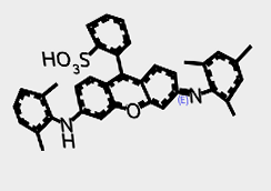 Cc1cc(C)c(/N=c2\ccc3c(-c4ccccc4S(=O)(=O)O)c4ccc(Nc5c(C)cccc5C)cc4oc-3c2)c(C)c1